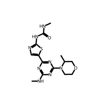 CNC(=O)Nc1ncc(-c2nc(NC)nc(N3CCOCC3C)n2)s1